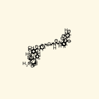 COc1cc(C(=O)NC2CCN(CCOCCNC(=O)CNc3cccc4c3C(=O)N(C3CCC(=O)NC3=O)C4=O)CC2)c(F)cc1Nc1ncc2c(n1)N(C1CCCC1)CC(F)(F)C(=O)N2C